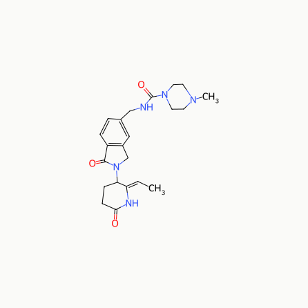 CC=C1NC(=O)CCC1N1Cc2cc(CNC(=O)N3CCN(C)CC3)ccc2C1=O